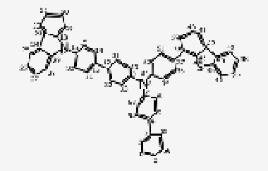 c1ccc(-c2ccc(N(c3ccc(-c4ccc(-n5c6ccccc6c6ccccc65)cc4)cc3)c3ccc(-c4cccc5c4sc4ccccc45)cc3)cc2)cc1